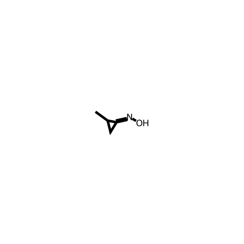 CC1CC1=NO